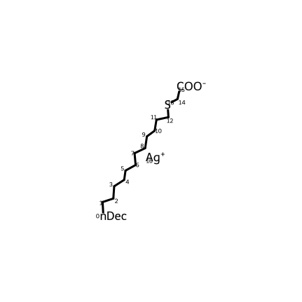 CCCCCCCCCCCCCCCCCCCCCCSCC(=O)[O-].[Ag+]